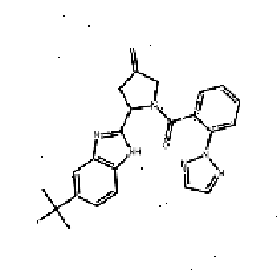 C=C1CC(c2nc3cc(C(C)(C)C)ccc3[nH]2)N(C(=O)c2ccccc2-n2nccn2)C1